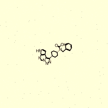 O=C(O)N(Cc1ccccc1)[C@H]1CC[C@H](c2nnn3cnc4[nH]ccc4c23)CC1